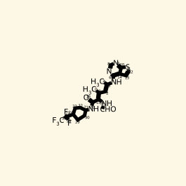 CC(/C=C(\C)Nc1ncnc2sccc12)=C(/NC=O)C(=O)NC1CCC(C(F)(F)C(F)(F)F)CC1